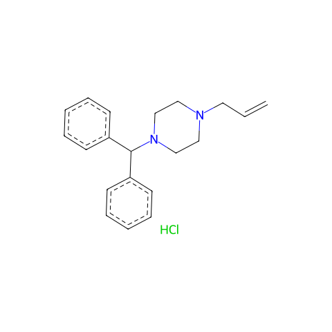 C=CCN1CCN(C(c2ccccc2)c2ccccc2)CC1.Cl